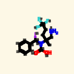 CC(CN)(CCC(F)(F)F)N(C(=O)O)C(I)c1ccccc1